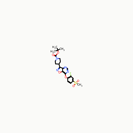 CC(C)(C)OC(=O)N1CCC(c2noc3c(Oc4ccc(S(C)(=O)=O)cc4F)ncnc23)CC1